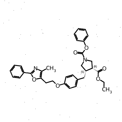 CCOC(=O)[C@H]1CN(C(=O)Oc2ccccc2)C[C@H]1Cc1ccc(OCCc2oc(-c3ccccc3)nc2C)cc1